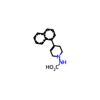 O=C(O)NN1CC=C(c2cccc3ccccc23)CC1